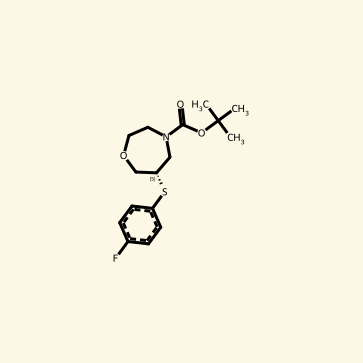 CC(C)(C)OC(=O)N1CCOC[C@@H](Sc2ccc(F)cc2)C1